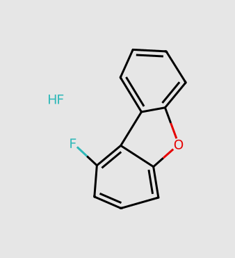 F.Fc1cccc2oc3ccccc3c12